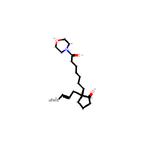 CCCCC/C=C/CC1(CCCCCCC(=O)N2CCOCC2)CCCC1=O